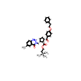 Cc1ccc2nnn(C[C@@H]3CC[C@H](C(=O)c4ccc(OCCc5ccccc5)cc4)[C@H]3C(=O)OCC[Si](C)(C)C)c(=O)c2c1